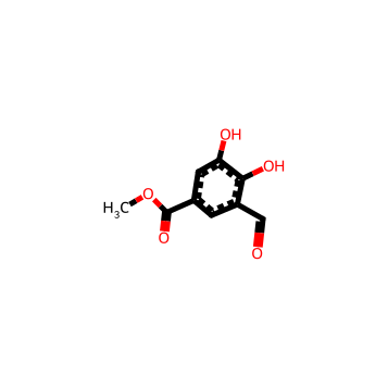 COC(=O)c1cc(O)c(O)c(C=O)c1